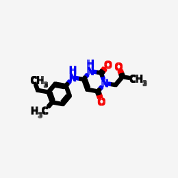 CCc1cc(Nc2cc(=O)n(CC(C)=O)c(=O)[nH]2)ccc1C